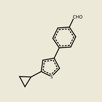 O=Cc1ccc(-c2csc(C3CC3)c2)cc1